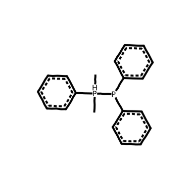 C[PH](C)(c1ccccc1)P(c1ccccc1)c1ccccc1